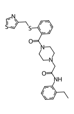 CCc1ccccc1NC(=O)CN1CCN(C(=O)c2ccccc2SCc2cscn2)CC1